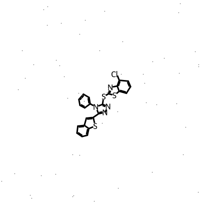 Clc1cccc2sc(Sc3nnc(-c4cc5ccccc5s4)n3-c3ccccc3)nc12